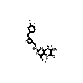 Cc1cncc(Cn2cc(CNc3nc(C)c4c(n3)N(C)C(C(C)C)C(=O)N4)cn2)c1